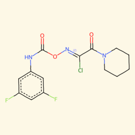 O=C(Nc1cc(F)cc(F)c1)O/N=C(\Cl)C(=O)N1CCCCC1